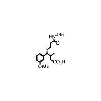 COc1cccc(C(SCCC(=O)NC(C)(C)C)C(C)CC(=O)O)c1